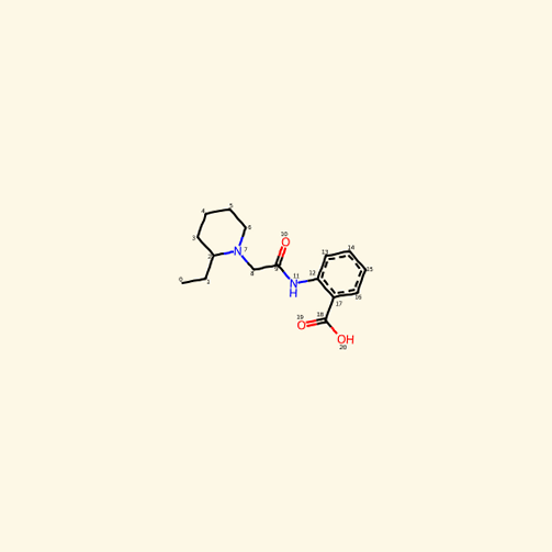 CCC1CCCCN1CC(=O)Nc1ccccc1C(=O)O